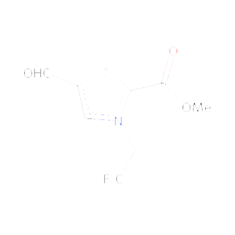 COC(=O)c1cc(C=O)cn1CC(F)(F)F